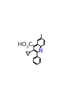 Cc1ccc2nc(-c3ccccc3)c(C3CC3)c(C(=O)O)c2c1